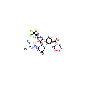 C[C@@H](C#N)NC(=O)[C@@H]1CC(F)(F)CC[C@H]1c1oc(C(F)(F)C(F)(F)F)nc1-c1ccc(C(=O)N2CCOCC2)cc1